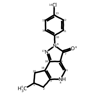 CC1Cc2[nH]cc3c(=O)n(-c4ccc(Cl)cc4)nc-3c2C1